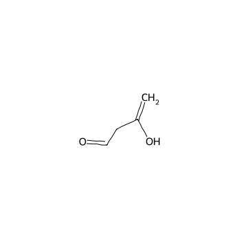 C=C(O)CC=O